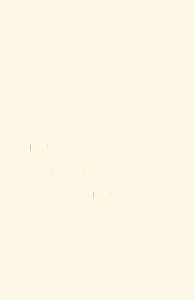 [Pd][PH]c1ccccc1.[Pd][PH]c1ccccc1.[Pd][PH]c1ccccc1.[Pd][PH]c1ccccc1